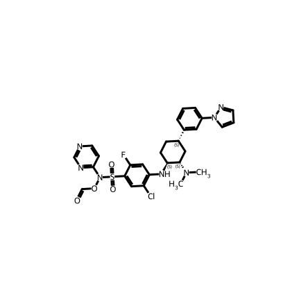 CN(C)[C@H]1C[C@@H](c2cccc(-n3cccn3)c2)CC[C@@H]1Nc1cc(F)c(S(=O)(=O)N(OC=O)c2ccncn2)cc1Cl